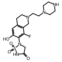 O=C1CN(c2c(O)cc3c(c2F)CN(CCN2CCNCC2)CC3)S(=O)(=O)N1